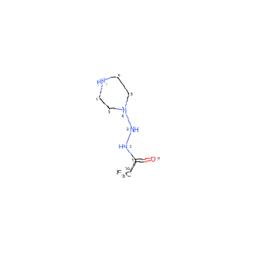 O=C(NNN1CCNCC1)C(F)(F)F